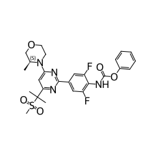 C[C@H]1COCCN1c1cc(C(C)(C)S(C)(=O)=O)nc(-c2cc(F)c(NC(=O)Oc3ccccc3)c(F)c2)n1